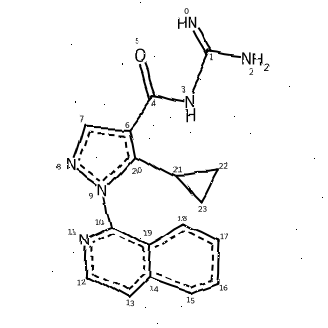 N=C(N)NC(=O)c1cnn(-c2nccc3ccccc23)c1C1CC1